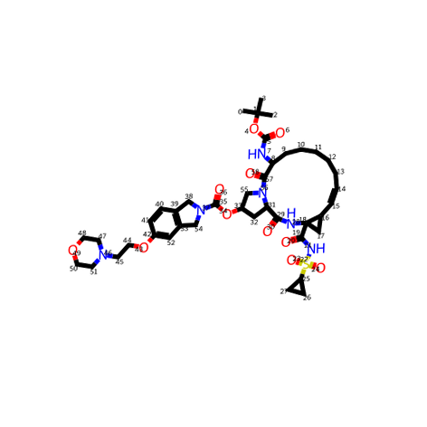 CC(C)(C)OC(=O)NC1CCCCC/C=C\C2CC2(C(=O)NS(=O)(=O)C2CC2)NC(=O)C2CC(OC(=O)N3Cc4ccc(OCCN5CCOCC5)cc4C3)CN2C1=O